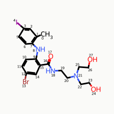 Cc1cc(I)ccc1Nc1ccc(Br)cc1C(=O)NCCN(CCO)CCO